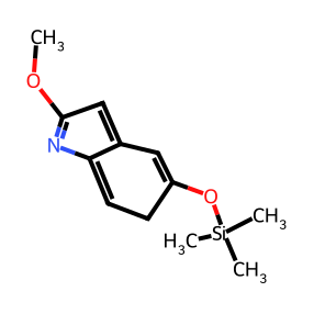 COC1=NC2=CCC(O[Si](C)(C)C)=CC2=C1